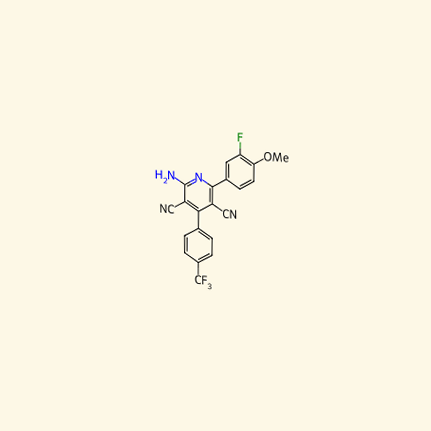 COc1ccc(-c2nc(N)c(C#N)c(-c3ccc(C(F)(F)F)cc3)c2C#N)cc1F